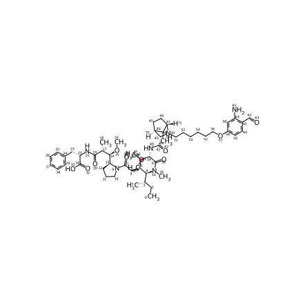 CC[C@H](C)[C@@H]([C@@H](CC(=O)N1CCC[C@H]1[C@H](OC)[C@@H](C)C(=O)N[C@@H](Cc1ccccc1)C(=O)O)OC)N(C)C(=O)[C@@H](NC(=O)[C@@H]1[C@H]2CC[C@@H]([C@H]2C)N1CCCCCCOc1ccc(C=O)c(N)c1)C(C)C